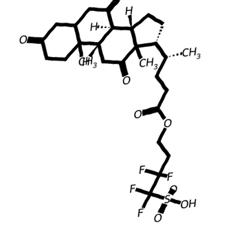 C[C@H](CCC(=O)OCCC(F)(F)C(F)(F)S(=O)(=O)O)[C@H]1CC[C@H]2[C@@H]3C(=O)CC4CC(=O)CCC4(C)[C@H]3CC(=O)C12C